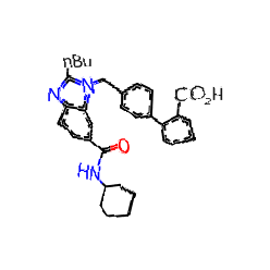 CCCCc1nc2ccc(C(=O)NC3CCCCC3)cc2n1Cc1ccc(-c2ccccc2C(=O)O)cc1